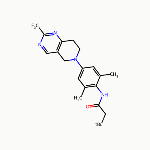 Cc1cc(N2CCc3nc(C(F)(F)F)ncc3C2)cc(C)c1NC(=O)CC(C)(C)C